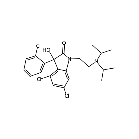 CC(C)N(CCN1C(=O)C(O)(c2ccccc2Cl)c2c(Cl)cc(Cl)cc21)C(C)C